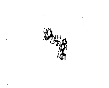 COc1ncc(NC(=O)CN(C)c2nc(-c3cn(C)cn3)nc3c2CCC3)cn1